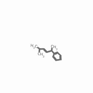 CC(C)C=CC(C)c1ccccc1